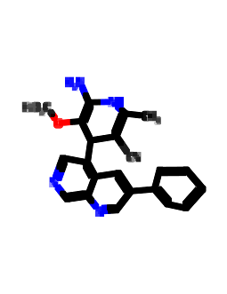 CCOC(=O)OC1=C(N)NC(C)=C(C#N)C1c1cncc2ncc(-c3ccccc3)cc12